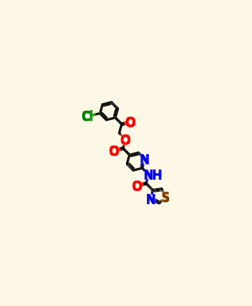 O=C(COC(=O)c1ccc(NC(=O)c2cscn2)nc1)c1cccc(Cl)c1